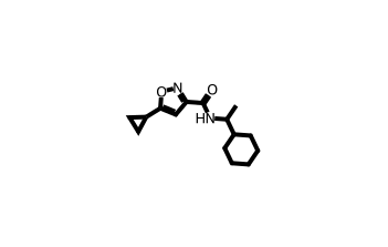 CC(NC(=O)c1cc(C2CC2)on1)C1CCCCC1